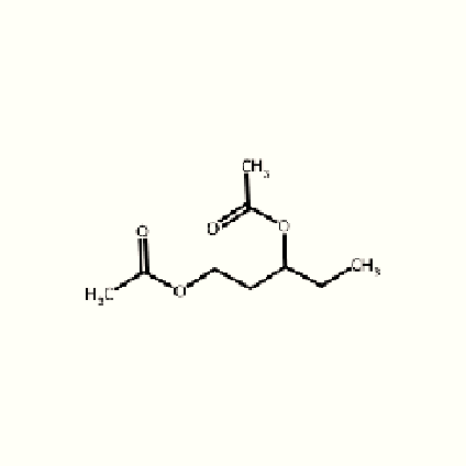 CCC(CCOC(C)=O)OC(C)=O